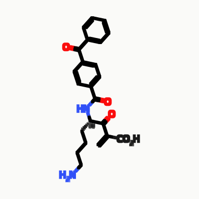 C=C(C(=O)O)C(=O)[C@H](CCCCN)NC(=O)c1ccc(C(=O)c2ccccc2)cc1